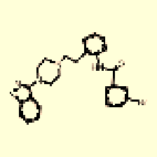 O=C(Nc1ccccc1CCN1CCN(c2nsc3ccccc23)CC1)c1cccc(Br)c1